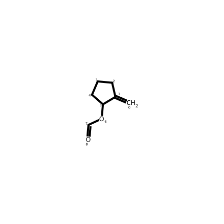 C=C1CCCC1OC=O